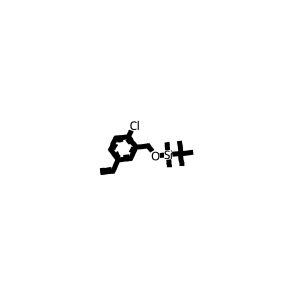 C=Cc1ccc(Cl)c(CO[Si](C)(C)C(C)(C)C)c1